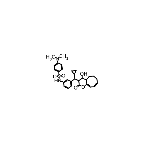 CN(C)c1ccc(S(=O)(=O)Nc2cccc(C(C3CC3)C3C(=O)OC4=CC=CCCCC4C3O)c2)cc1